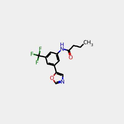 CCCC(=O)Nc1cc(-c2cnco2)cc(C(F)(F)F)c1